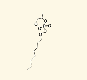 CCCCCCCCOOP1(=O)OOCC(C)O1